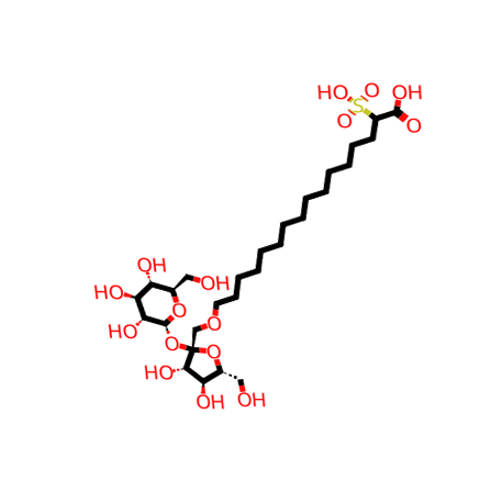 O=C(O)C(CCCCCCCCCCCCCCOC[C@@]1(O[C@H]2O[C@H](CO)[C@@H](O)[C@H](O)[C@H]2O)O[C@H](CO)[C@@H](O)[C@@H]1O)S(=O)(=O)O